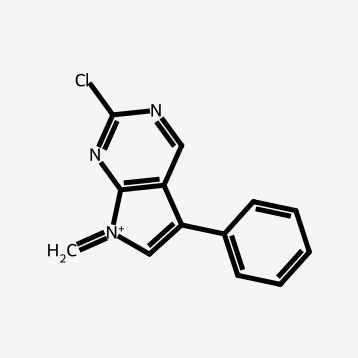 C=[N+]1C=C(c2ccccc2)c2cnc(Cl)nc21